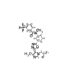 Cc1ncn(CC(F)F)c1-c1nnc([C@H]2CCC[C@@H](N(C)C(=O)c3cccc(C(F)(F)F)c3)C2)o1